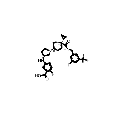 O=C(O)c1cc(N[C@H]2CCN([C@@H]3CC[C@@](C(=O)NCc4cc(F)cc(C(F)(F)F)c4)(C4CC4)OC3)C2)ccc1F